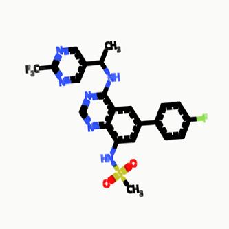 CC(Nc1ncnc2c(NS(C)(=O)=O)cc(-c3ccc(F)cc3)cc12)c1cnc(C(F)(F)F)nc1